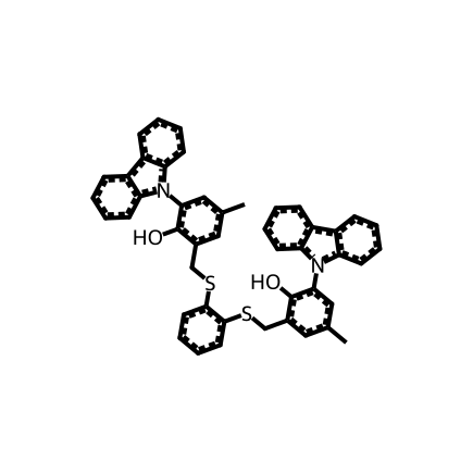 Cc1cc(CSc2ccccc2SCc2cc(C)cc(-n3c4ccccc4c4ccccc43)c2O)c(O)c(-n2c3ccccc3c3ccccc32)c1